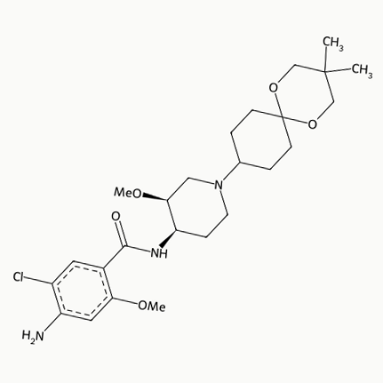 COc1cc(N)c(Cl)cc1C(=O)N[C@@H]1CCN(C2CCC3(CC2)OCC(C)(C)CO3)C[C@@H]1OC